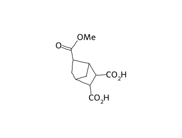 COC(=O)C1CC2CC1C(C(=O)O)C2C(=O)O